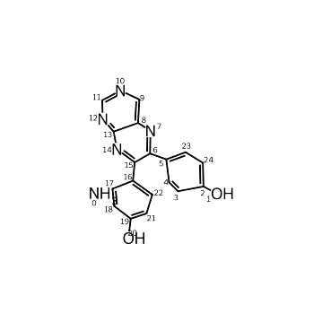 N.Oc1ccc(-c2nc3cncnc3nc2-c2ccc(O)cc2)cc1